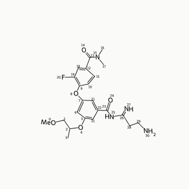 COCC(C)Oc1cc(Oc2ccc(C(=O)N(C)C)cc2F)cc(C(=O)NC(=N)CCN)c1